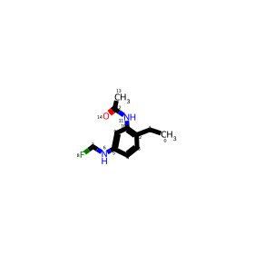 CCc1ccc(NCF)cc1NC(C)=O